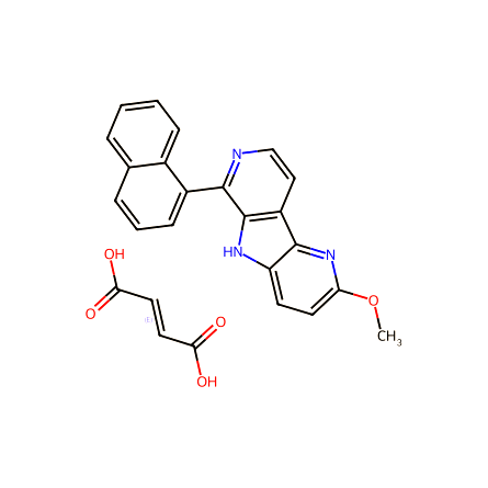 COc1ccc2[nH]c3c(-c4cccc5ccccc45)nccc3c2n1.O=C(O)/C=C/C(=O)O